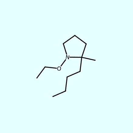 CCCCC1(C)CCCN1OCC